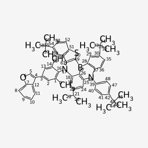 Cc1cc(-c2coc3ccccc23)cc(C)c1N1c2cc(C(C)C)cc3c2B(c2cc(C(C)(C)C)ccc2N3c2ccc(C(C)(C)C)cc2)c2sc3ccc(C(C)(C)C)cc3c21